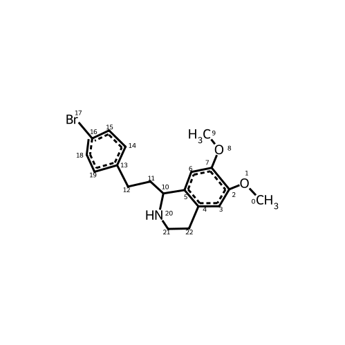 COc1cc2c(cc1OC)C(CCc1ccc(Br)cc1)NCC2